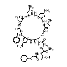 CC(C)C[C@@H]1NC(=O)[C@@H](Cc2ccccc2)NC(=O)[C@H](CCN)NC(=O)[C@@H](NC(=O)[C@H](CN)NC(=O)[C@@H](NC(=O)CSC2CCCCC2)C(C)O)CCNC(=O)[C@H](C(C)O)NC(=O)[C@H](CCN)NC(=O)[C@H](CCN)NC1=O